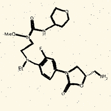 CCN(CCN(OC)C(=O)NC1CCOCC1)c1ccc(N2C[C@H](CN)OC2=O)cc1F